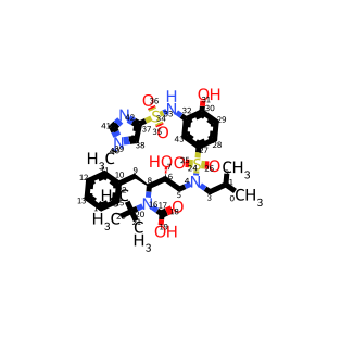 CC(C)CN(C[C@@H](O)[C@H](Cc1ccccc1)N(C(=O)O)C(C)(C)C)S(=O)(=O)c1ccc(O)c(NS(=O)(=O)c2cn(C)cn2)c1